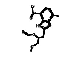 COCC(Cc1cc2c(C)ccc([N+](=O)[O-])c2[nH]1)OC=O